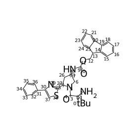 CC(C)(C)[C@H](N)C(=O)N1C[C@@H](NC(=O)OCC2c3ccccc3-c3ccccc32)C[C@H]1c1nc(-c2ccccc2)cs1